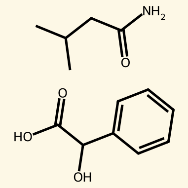 CC(C)CC(N)=O.O=C(O)C(O)c1ccccc1